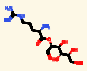 N=C(N)NCCC[C@H](N)C(=O)O[C@@H](C=O)[C@@H](O)[C@@H](O)[C@H](O)CO